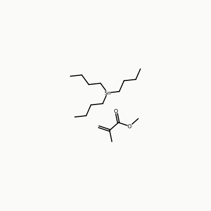 C=C(C)C(=O)OC.CCC[CH2][Sn]([CH2]CCC)[CH2]CCC